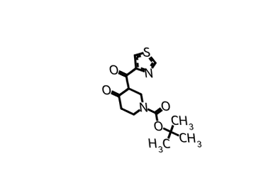 CC(C)(C)OC(=O)N1CCC(=O)C(C(=O)c2cscn2)C1